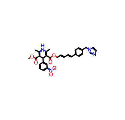 COC(=O)C1=C(C)NC(C)=C(C(=O)OC/C=C/C=Cc2ccc(Cn3ccnc3)cc2)C1c1cccc([N+](=O)[O-])c1